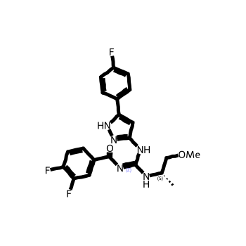 COC[C@H](C)N/C(=N/C(=O)c1ccc(F)c(F)c1)Nc1cc(-c2ccc(F)cc2)[nH]n1